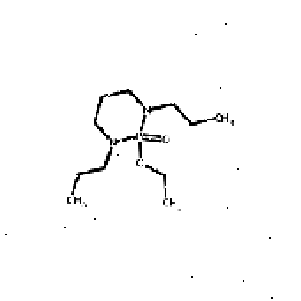 CCCN1CCCN(CCC)P1(=O)OCC